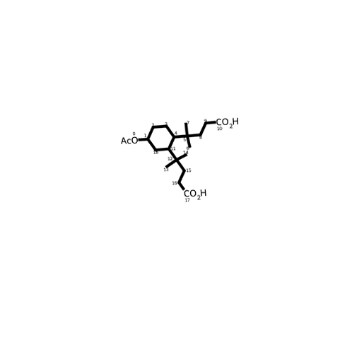 CC(=O)OC1CCC(C(C)(C)CCC(=O)O)C(C(C)(C)CCC(=O)O)C1